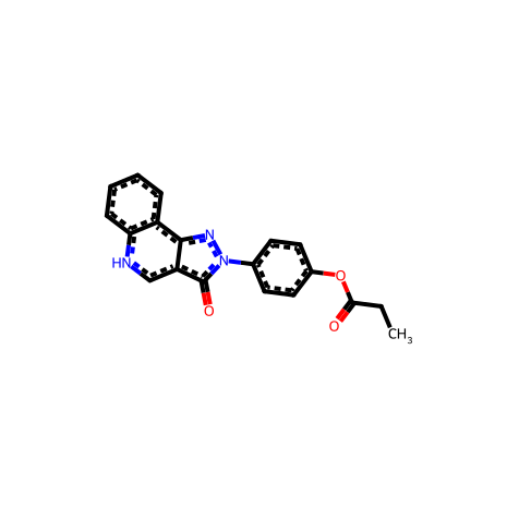 CCC(=O)Oc1ccc(-n2nc3c4ccccc4[nH]cc-3c2=O)cc1